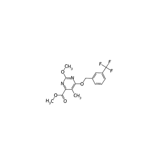 COC(=O)c1nc(OC)nc(OCc2cccc(C(F)(F)F)c2)c1C